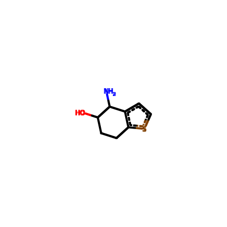 NC1c2ccsc2CCC1O